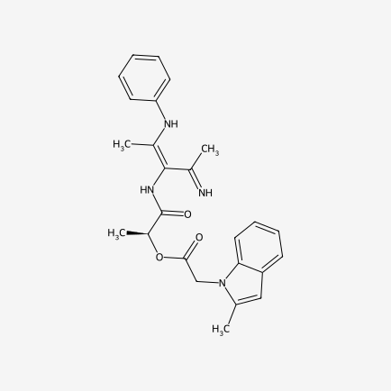 CC(=N)/C(NC(=O)[C@H](C)OC(=O)Cn1c(C)cc2ccccc21)=C(/C)Nc1ccccc1